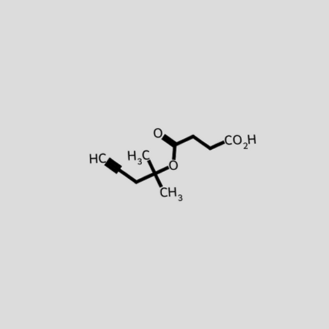 C#CCC(C)(C)OC(=O)CCC(=O)O